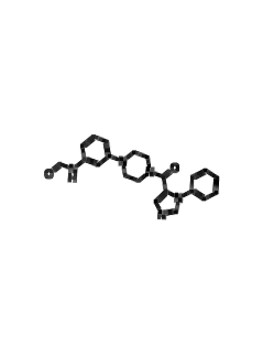 O=CNc1cccc(N2CCN(C(=O)c3cncn3-c3ccccc3)CC2)c1